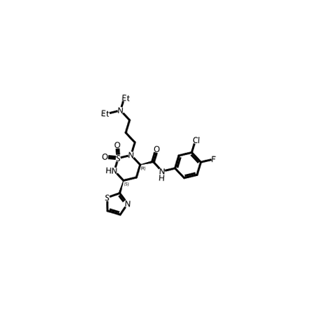 CCN(CC)CCCN1[C@@H](C(=O)Nc2ccc(F)c(Cl)c2)C[C@@H](c2nccs2)NS1(=O)=O